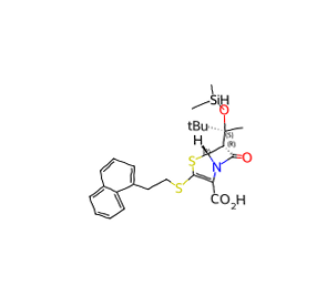 C[SiH](C)O[C@@](C)([C@@H]1C(=O)N2C(C(=O)O)=C(SCCc3cccc4ccccc34)S[C@H]12)C(C)(C)C